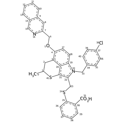 CC1Cc2c(OCc3cc4ccccc4cn3)ccc3c2c(c(CSc2ccccc2C(=O)O)n3Cc2ccc(Cl)cc2)S1